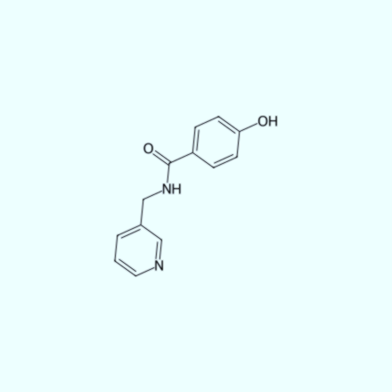 O=C(NCc1cccnc1)c1ccc(O)cc1